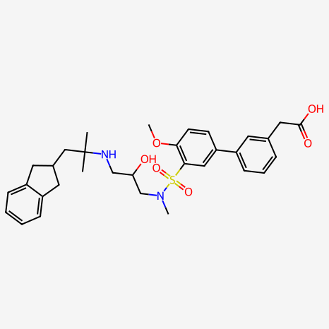 COc1ccc(-c2cccc(CC(=O)O)c2)cc1S(=O)(=O)N(C)CC(O)CNC(C)(C)CC1Cc2ccccc2C1